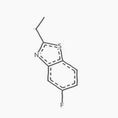 C[CH]c1nc2cc(F)ccc2s1